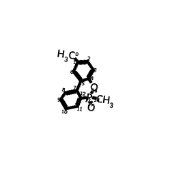 Cc1ccc2c(c1)-c1ccccc1P(C)(=O)O2